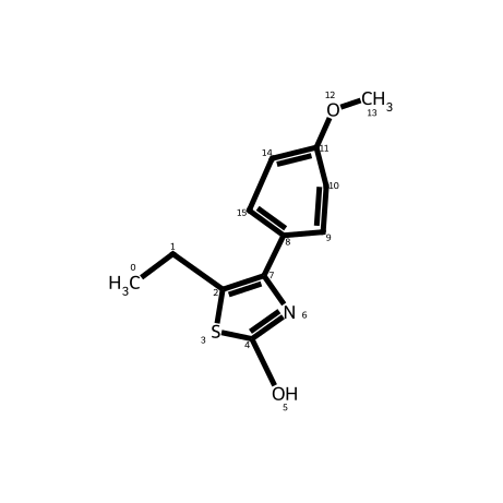 CCc1sc(O)nc1-c1ccc(OC)cc1